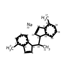 Cc1cccc2c1C=CC2C(C)C1C=Cc2c(C)cccc21.[Na]